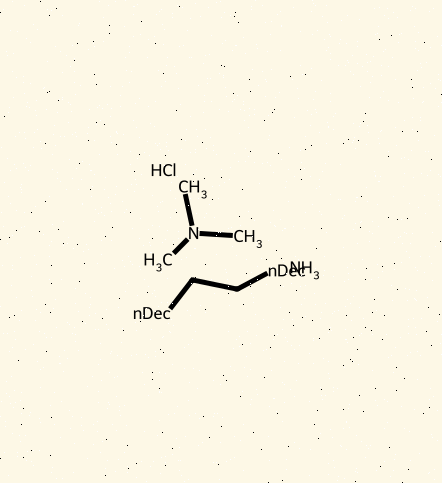 CCCCCCCCCCCCCCCCCCCCCC.CN(C)C.Cl.N